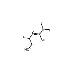 CC(CO)/N=C(\S)N(C)C